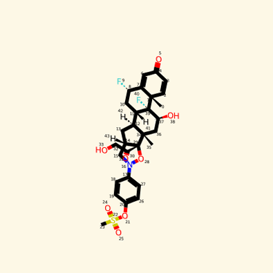 C[C@]12C=CC(=O)C=C1[C@@H](F)C[C@H]1[C@@H]3C[C@H]4CN(c5ccc(OS(C)(=O)=O)cc5)O[C@@]4(C(=O)CO)[C@@]3(C)C[C@H](O)[C@@]12F